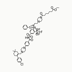 CCOC(=O)CCCCCC(=O)N1CCN(CC[C@H](CSc2ccccc2)Nc2ccc(S(=O)(=O)NC(=O)c3ccc(N4CCN(CC5=C(c6ccc(Cl)cc6)CCC(C)(C)C5)CC4)cc3)cc2S(=O)(=O)C(F)(F)F)CC1